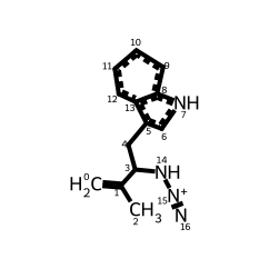 C=C(C)C(Cc1c[nH]c2ccccc12)N[N+]#N